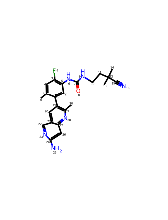 Cc1cc(F)c(NC(=O)NCCC(C)(C)C#N)cc1-c1cc2cnc(N)cc2nc1C